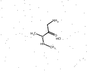 CNN(C)C(=O)CN.Cl